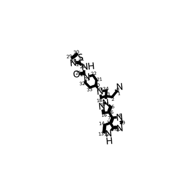 N#CCC1(n2cc(-c3ncnc4[nH]ccc34)cn2)CN(C2CCN(C(=O)Nc3nccs3)CC2)C1